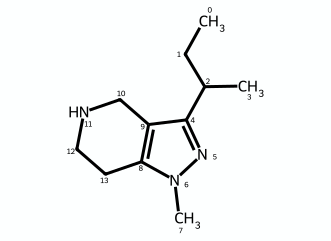 CCC(C)c1nn(C)c2c1CNCC2